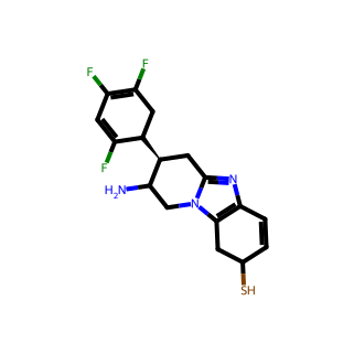 NC1Cn2c(nc3c2CC(S)C=C3)C[C@@H]1C1CC(F)=C(F)C=C1F